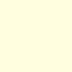 CCC(=O)C(c1ccc(Cl)cc1)N(C)C